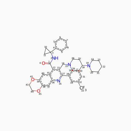 O=C(NC1(c2ccccc2)CC1)c1c(CN2CCC(N3CCCCC3)CC2)c(-c2cccc(C(F)(F)F)c2)nc2cc3c(cc12)OCCO3